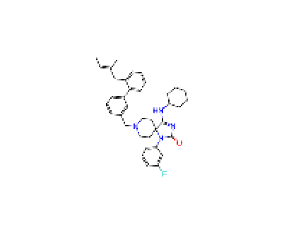 C/C=C(\C)Cc1ccccc1-c1cccc(CN2CCC3(CC2)C(NC2CCCCC2)=NC(=O)N3c2cccc(F)c2)c1